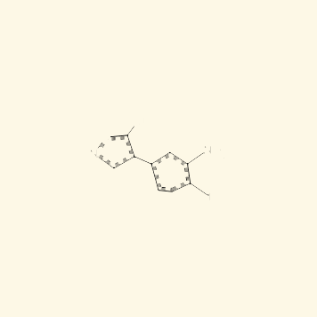 Cc1sncc1-c1ccc(I)c([N+](=O)[O-])c1